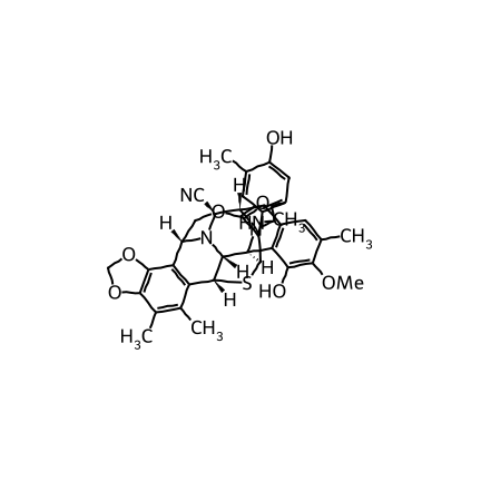 COc1c(C)cc2c(c1O)[C@H]1[C@@H]3[C@@H]4SC[C@]5(NCCc6cc(O)c(C)cc65)C(=O)OC[C@@H](c5c6c(c(C)c(C)c54)OCO6)N3[C@@H](C#N)[C@H](C2)N1C